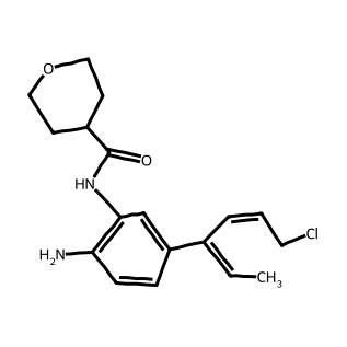 C/C=C(\C=C/CCl)c1ccc(N)c(NC(=O)C2CCOCC2)c1